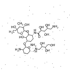 C[C@@H]1C(O)[C@@H](OC2C(O)C(O[C@H]3O[C@H](CNCC(O)C(O)CO)CCC3N)[C@@H](N)C[C@H]2NC(=O)[C@@H](O)[C@@H](O)[C@@H](O)CN)OCC1(C)O